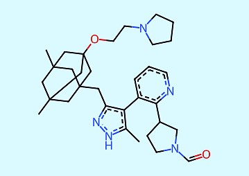 Cc1[nH]nc(CC23CC4(C)CC(C)(C2)CC(OCCN2CCCC2)(C4)C3)c1-c1cccnc1C1CCN(C=O)C1